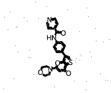 O=C(Nc1ccc(-c2csc3c(=O)cc(N4CCOCC4)oc23)cc1)c1ccncc1